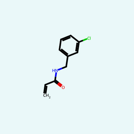 C=CC(=O)NCc1cccc(Cl)c1